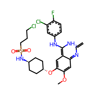 C=C/N=C1/C=C(OC)C(O[C@H]2CC[C@H](NS(=O)(=O)CCCCl)CC2)=C/C1=C(/N)Nc1ccc(F)c(Cl)c1